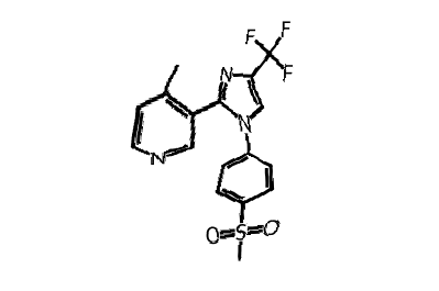 Cc1ccncc1-c1nc(C(F)(F)F)cn1-c1ccc(S(C)(=O)=O)cc1